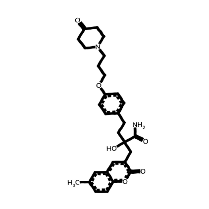 Cc1ccc2oc(=O)c(CC(O)(CCc3ccc(OCCCN4CCC(=O)CC4)cc3)C(N)=O)cc2c1